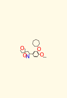 CCOc1ccc(C2=NOC3(CCOC3)C2)cc1OC1CCCCCC1